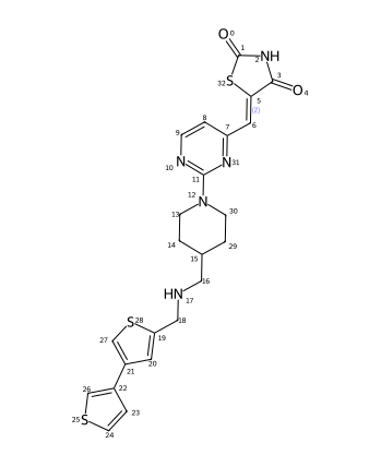 O=C1NC(=O)/C(=C/c2ccnc(N3CCC(CNCc4cc(-c5ccsc5)cs4)CC3)n2)S1